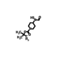 CC(C)(C)OC(=O)N1CCC(N(S)C=O)CC1